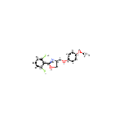 COc1ccc(OCC2COC(c3c(F)cccc3F)=N2)cc1